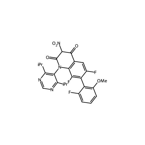 COc1cccc(F)c1-c1c(F)cc2c(c1F)N(c1c(C(C)C)ncnc1C(C)C)C(=O)C([N+](=O)[O-])C2=O